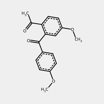 COc1ccc(C(=O)c2cc(OC)ccc2C(C)=O)cc1